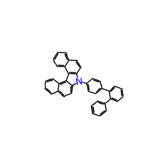 c1ccc(-c2ccccc2-c2ccc(-n3c4ccc5ccccc5c4c4c5ccccc5ccc43)cc2)cc1